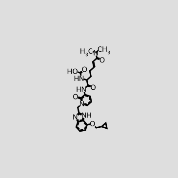 CN(C)C(=O)C=CCCC(NC(=O)O)C(=O)Nc1cccn(Cc2nc3cccc(OCC4CC4)c3[nH]2)c1=O